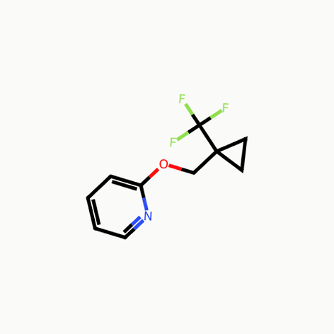 FC(F)(F)C1(COc2ccccn2)CC1